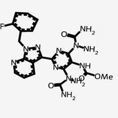 COC(=O)Nc1c(N(N)C(N)=O)nc(-c2nn(Cc3ccccc3F)c3ncccc23)nc1N(N)C(N)=O